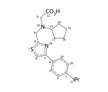 CC(C)c1ccc(-c2csc(CN(CC(=O)O)C3CCCC3)n2)cc1